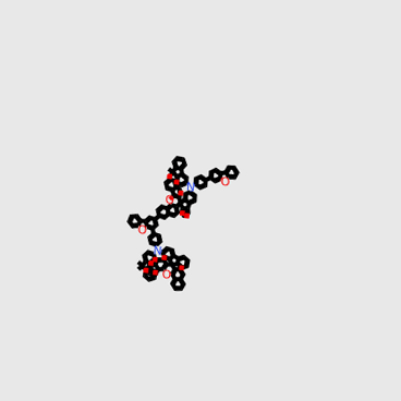 CC1(C)c2ccccc2-c2cc(N(c3ccc(-c4cc(-c5ccc6c7c(ccc6c5)C5(c6ccccc6-c6ccc(N(c8ccc(-c9ccc%10c(c9)oc9ccccc9%10)cc8)c8ccc9c(c8)-c8ccccc8C9(C)C)cc65)c5ccc6ccccc6c5O7)cc5c4oc4ccccc45)cc3)c3ccc4c(c3)C3(c5ccccc5-4)c4ccc5ccccc5c4Oc4c3ccc3ccccc43)ccc21